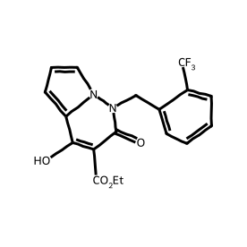 CCOC(=O)c1c(O)c2cccn2n(Cc2ccccc2C(F)(F)F)c1=O